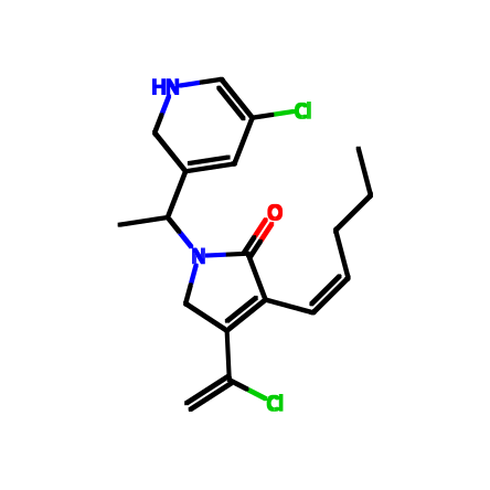 C=C(Cl)C1=C(/C=C\CCC)C(=O)N(C(C)C2=CC(Cl)=CNC2)C1